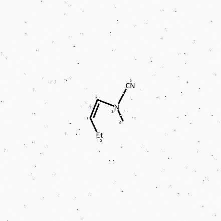 CC/C=C\N(C)C#N